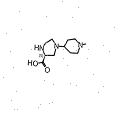 CN1CCC(N2CCN[C@H](C(=O)O)C2)CC1